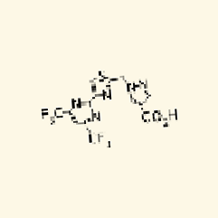 O=C(O)c1cnn(Cc2nc(-c3nc(C(F)(F)F)cc(C(F)(F)F)n3)cs2)c1